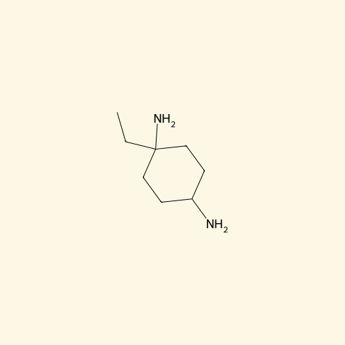 CCC1(N)CCC(N)CC1